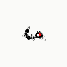 C=C1C(=O)O[C@H]2[C@H]1CC/C(COC(=O)NCc1ccc(Cn3c(=O)sn(-c4ccc(C#N)cc4)c3=O)cc1)=C\CC[C@@]1(C)O[C@@H]21